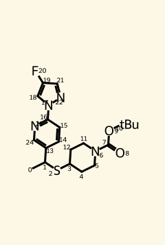 CC(SC1CCN(C(=O)OC(C)(C)C)CC1)c1ccc(-n2cc(F)cn2)nc1